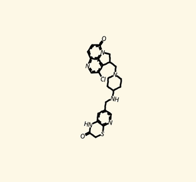 O=C1CSc2ncc(CNC3CCN(CC4Cn5c(=O)ccc6ncc(Cl)c4c65)CC3)cc2N1